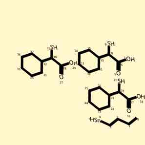 CCC[CH2][SnH].O=C(O)C(S)C1CCCCC1.O=C(O)C(S)C1CCCCC1.O=C(O)C(S)C1CCCCC1